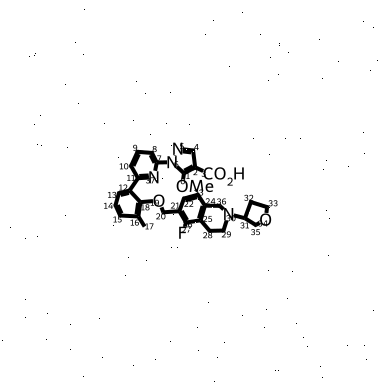 COc1c(C(=O)O)cnn1-c1cccc(-c2cccc(C)c2OCc2ccc3c(c2F)CCN(C2CCOC2)C3)n1